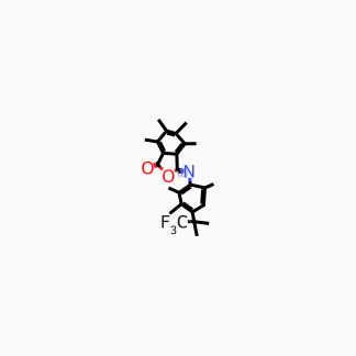 Cc1cc(C(C)(C)C(F)(F)F)c(C)c(C)c1/N=C1\OC(=O)c2c(C)c(C)c(C)c(C)c21